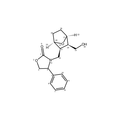 O=C1OCC(c2ccccc2)N1C[C@@H]1[C@H](CO)[C@@H]2CC[C@H]1O2